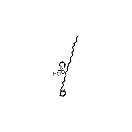 CC(=O)[n+]1ccccc1.CCCCCCCCCCCCCCCCCCCCCC[n+]1ccccc1.Cl